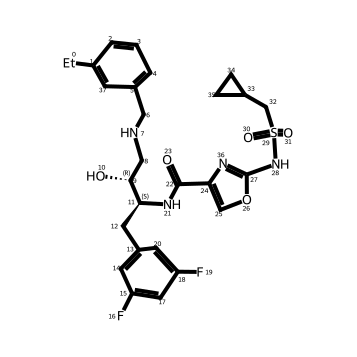 CCc1cccc(CNC[C@@H](O)[C@H](Cc2cc(F)cc(F)c2)NC(=O)c2coc(NS(=O)(=O)CC3CC3)n2)c1